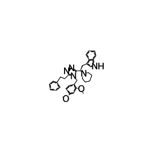 COc1ccc(Cn2c(CCc3ccccc3)nnc2[C@@H](Cc2c[nH]c3ccccc23)N2CCCCC2)c(OC)c1